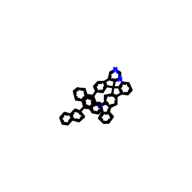 c1ccc(-n2c3ccccc3c3cc4c(cc32)C2(c3ccccc3-4)c3cc(-c4c5ccccc5c(-c5ccc6ccccc6c5)c5ccccc45)ccc3-c3cncnc32)cc1